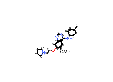 COc1cc2c(Nc3ccc(C)cc3F)ncnc2cc1OCCN1CCCC1